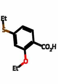 CCOc1cc(SCC)ccc1C(=O)O